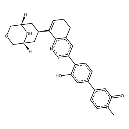 Cn1ccc(-c2ccc(-c3cc4c(nn3)C([C@@H]3C[C@H]5COC[C@@H](C3)N5)=CCC4)c(O)c2)cc1=O